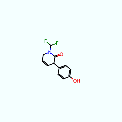 O=C1C(c2ccc(O)cc2)C=CCN1C(F)F